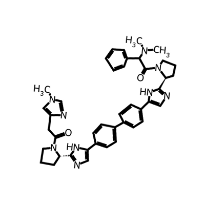 CN(C)C(C(=O)N1CCC[C@H]1c1ncc(-c2ccc(-c3ccc(-c4cnc([C@@H]5CCCN5C(=O)Cc5cn(C)cn5)[nH]4)cc3)cc2)[nH]1)c1ccccc1